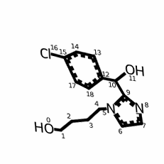 OCCCCn1ccnc1C(O)c1ccc(Cl)cc1